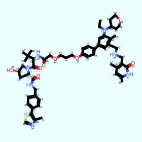 CCN(c1cc(-c2ccc(OCCCOCC(=O)N[C@H](C(=O)N3C[C@H](O)C[C@H]3C(=O)NCc3ccc(-c4scnc4C)cc3)C(C)(C)C)cc2)cc(CNCc2c(C)cc(C)[nH]c2=O)c1C)C1CCOCC1